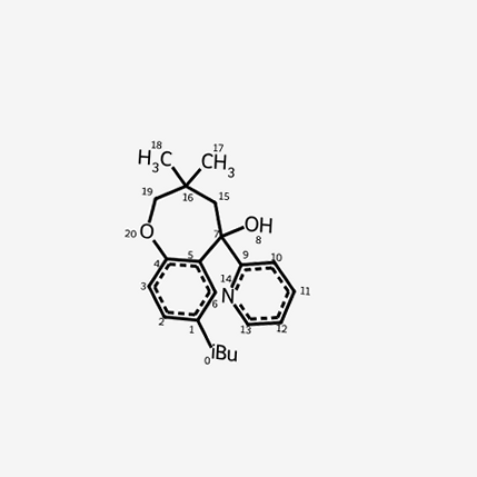 CCC(C)c1ccc2c(c1)C(O)(c1ccccn1)CC(C)(C)CO2